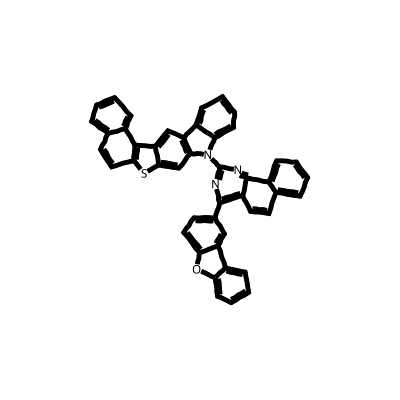 c1ccc2c(c1)ccc1c(-c3ccc4oc5ccccc5c4c3)nc(-n3c4ccccc4c4cc5c(cc43)sc3ccc4ccccc4c35)nc12